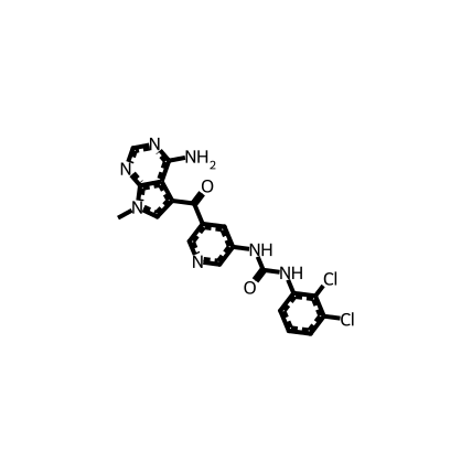 Cn1cc(C(=O)c2cncc(NC(=O)Nc3cccc(Cl)c3Cl)c2)c2c(N)ncnc21